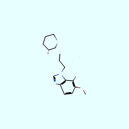 COc1ccc2ncn(CCC[C@H]3NCCC[C@@H]3O)c2c1Cl.Cl.Cl